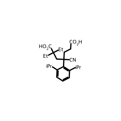 CCC(CC)(CC(C#N)(CCC(=O)O)c1c(C(C)C)cccc1C(C)C)C(=O)O